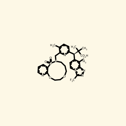 Cc1ccc([C@H](c2ccn3c(C(F)(F)F)nnc3c2C)C(C)(C)C(=O)O)nc1CN1CCCOCCOc2ncccc2S1(=O)=O